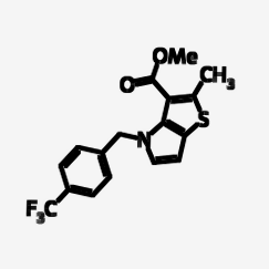 COC(=O)c1c(C)sc2ccn(Cc3ccc(C(F)(F)F)cc3)c12